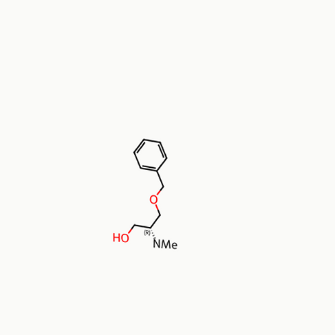 CN[C@H](CO)COCc1ccccc1